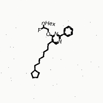 CCCCCCC(F)COc1nc(-c2ccccc2)ncc1CCCCCCCC1CCCC1